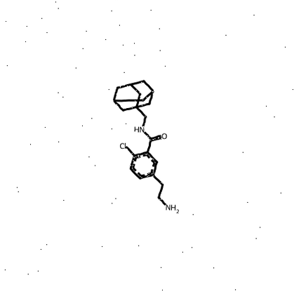 NCCc1ccc(Cl)c(C(=O)NCC23CC4CC(CC(C4)C2)C3)c1